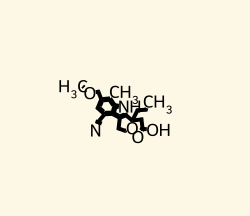 CCCC1(CC(=O)O)OCCc2c1[nH]c1c(C)c(COC)cc(C#N)c21